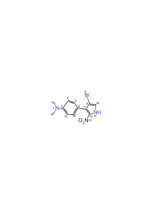 CN(C)c1ccc(-c2c(Br)c[nH]c2[N+](=O)[O-])cc1